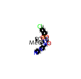 COC[C@H]1CN(S(=O)(=O)c2ccc3cc(Cl)ccc3c2)CC(=O)N1CC1CCN(c2ccncc2)CC1.CS(=O)(=O)O